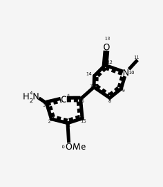 COc1cc(N)cc(-c2ccn(C)c(=O)c2)c1